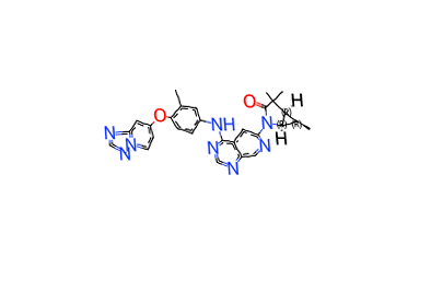 Cc1cc(Nc2ncnc3cnc(N4C(=O)C(C)(C)[C@H]5[C@@H](C)[C@H]54)cc23)ccc1Oc1ccn2ncnc2c1